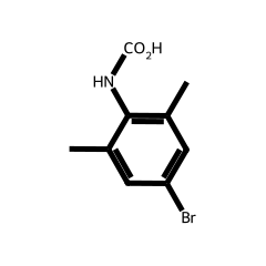 Cc1cc(Br)cc(C)c1NC(=O)O